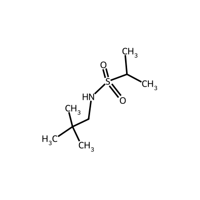 CC(C)S(=O)(=O)NCC(C)(C)C